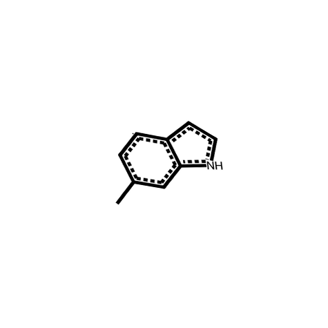 Cc1c[c]c2cc[nH]c2c1